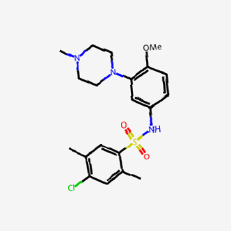 COc1ccc(NS(=O)(=O)c2cc(C)c(Cl)cc2C)cc1N1CCN(C)CC1